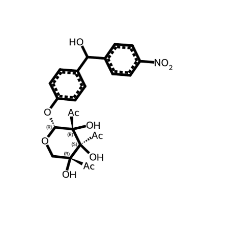 CC(=O)[C@]1(O)[C@@](O)(C(C)=O)CO[C@H](Oc2ccc(C(O)c3ccc([N+](=O)[O-])cc3)cc2)[C@@]1(O)C(C)=O